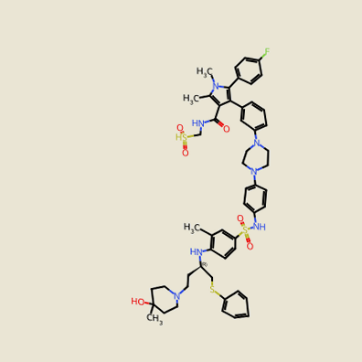 Cc1cc(S(=O)(=O)Nc2ccc(N3CCN(c4cccc(-c5c(C(=O)NC[SH](=O)=O)c(C)n(C)c5-c5ccc(F)cc5)c4)CC3)cc2)ccc1N[C@H](CCN1CCC(C)(O)CC1)CSc1ccccc1